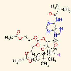 CC(=O)OCCOC(OCCOC(C)=O)OC1[C@@H](O[Si](C)(C)C(C)(C)C)[C@@H](CI)O[C@H]1n1cnc2c(NC(=O)C(C)C)ncnc21